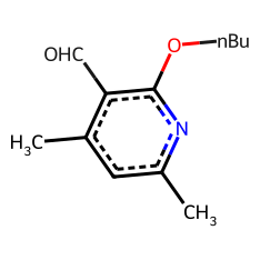 CCCCOc1nc(C)cc(C)c1C=O